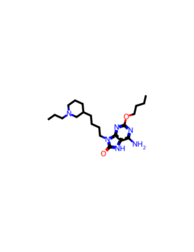 CCCCOc1nc(N)c2[nH]c(=O)n(CCCCC3CCCN(CCC)C3)c2n1